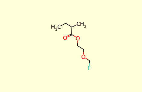 CCC(C)C(=O)OCCOCF